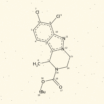 CC1c2c3ccc(Cl)c(Cl)c3nn2CCN1C(=O)OC(C)(C)C